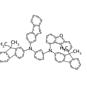 CC1(C)c2ccccc2-c2ccc(N(c3cccc(N(c4ccc5c(c4)C(C)(C)c4ccccc4-5)c4cccc5oc6ccccc6c45)c3)c3ccc4c(c3)sc3ccccc34)cc21